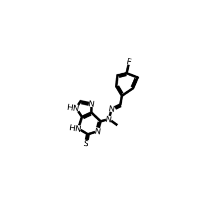 CN(N=Cc1ccc(F)cc1)c1nc(=S)[nH]c2[nH]cnc12